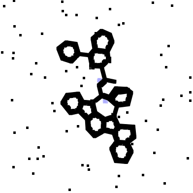 C=C/C=C(\C=C(/C)c1nc(-c2ccccc2)c2ccccc2n1)n1c2ccccc2c2ccc3c4c5ccccc5ccc4n(-c4ccccc4)c3c21